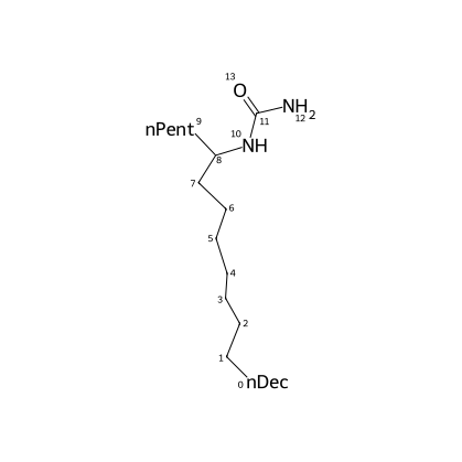 CCCCCCCCCCCCCCCCCC(CCCCC)NC(N)=O